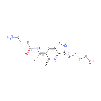 C=c1nc2c(c/c1=C(/F)NC(=O)CCCN)CN/C2=C\CCCO